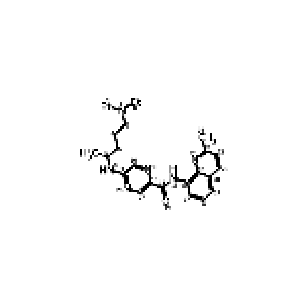 CCN(CC)CCCC(C)Nc1cnc(C(=O)Nc2cccc3ccc(C)nc23)cn1